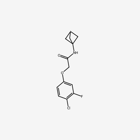 O=C(COc1ccc(Cl)c(F)c1)NC12C[C](C1)C2